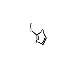 COc1ncco1